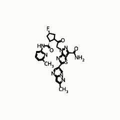 Cc1cccc(NC(=O)[C@@H]2C[C@@H](F)CC2C(=O)Cn2nc(C(N)=O)c3sc(-c4cnc5cc(C)nn5c4)nc32)n1